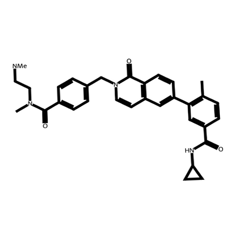 CNCCN(C)C(=O)c1ccc(Cn2ccc3cc(-c4cc(C(=O)NC5CC5)ccc4C)ccc3c2=O)cc1